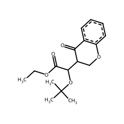 CCOC(=O)C(OC(C)(C)C)C1COc2ccccc2C1=O